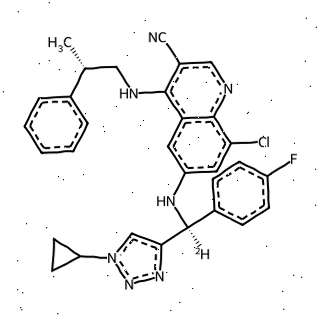 [2H][C@](Nc1cc(Cl)c2ncc(C#N)c(NC[C@@H](C)c3ccccc3)c2c1)(c1ccc(F)cc1)c1cn(C2CC2)nn1